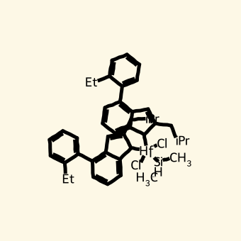 CCc1ccccc1-c1cccc2c1C=C(CC(C)C)[CH]2[Hf]([Cl])([Cl])([CH]1C(CC(C)C)=Cc2c(-c3ccccc3CC)cccc21)[SiH](C)C